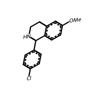 COc1ccc2c(c1)CCNC2c1ccc(Cl)cc1